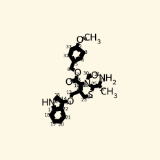 COc1ccc(COC(=O)C2=C(COc3c[nH]c4ccccc34)CSC(C(C)N)N2C=O)cc1